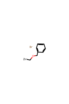 [Br-].[Zn+][CH2]OCc1ccccc1